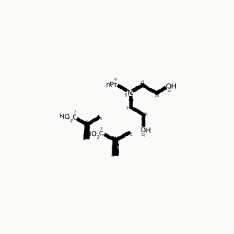 C=C(C)C(=O)O.C=C(C)C(=O)O.CCCN(CCO)CCO